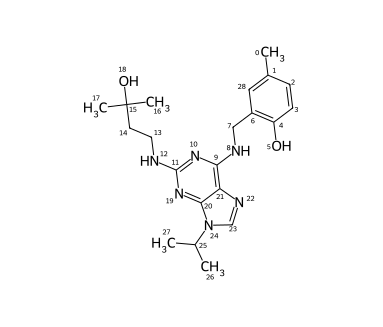 Cc1ccc(O)c(CNc2nc(NCCC(C)(C)O)nc3c2ncn3C(C)C)c1